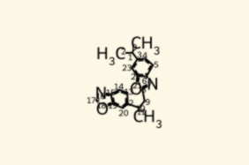 CC(C)c1ccc2nc(CC(C)c3ccc4ncoc4c3)oc2c1